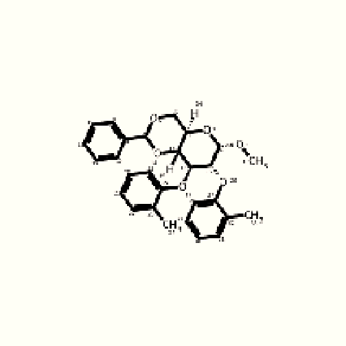 CO[C@H]1O[C@@H]2COC(c3ccccc3)O[C@H]2[C@H](Oc2ccccc2C)[C@H]1Oc1ccccc1C